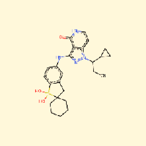 N#CCC(C1CC1)n1nc(Nc2ccc3c(c2)CC2(CCCCC2)S3(O)O)c2c(=O)[nH]ccc21